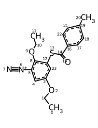 CCOc1cc([N+]#N)c(OCC)c(SC(=O)c2ccc(C)cc2)c1